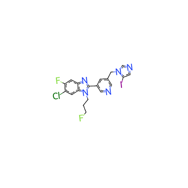 FCCCn1c(-c2cncc(Cn3cncc3I)c2)nc2cc(F)c(Cl)cc21